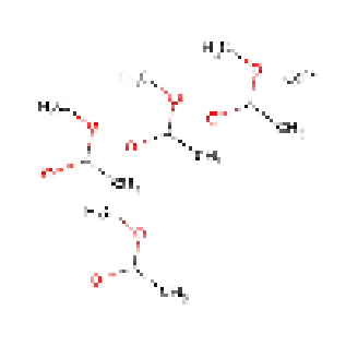 COC(C)[O-].COC(C)[O-].COC(C)[O-].COC(C)[O-].[Ce+4]